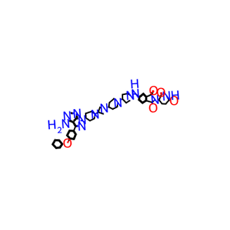 Nc1ncnc2c1c(-c1ccc(Oc3ccccc3)cc1)nn2C1CCN(C2CN(C3CCN(C4CCN(Nc5ccc6c(c5)C(=O)N([C@@H]5CCC(=O)NC5=O)C6=O)CC4)CC3)C2)CC1